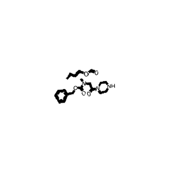 CCCCOC=O.CN(CC(=O)N1CCNCC1)C(=O)OCc1ccccc1